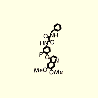 COc1cc2nccc(Oc3ccc(NC(=O)C(=O)NCc4ccccc4)cc3F)c2cc1OC